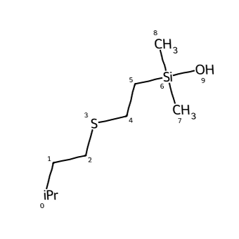 CC(C)CCSCC[Si](C)(C)O